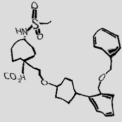 CS(=O)(=O)N[C@H]1CC[C@](COC2CCC(c3ccccc3OCc3ccccc3)CC2)(C(=O)O)C1